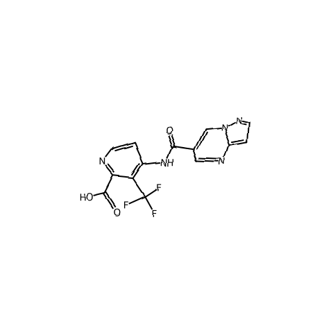 O=C(Nc1ccnc(C(=O)O)c1C(F)(F)F)c1cnc2ccnn2c1